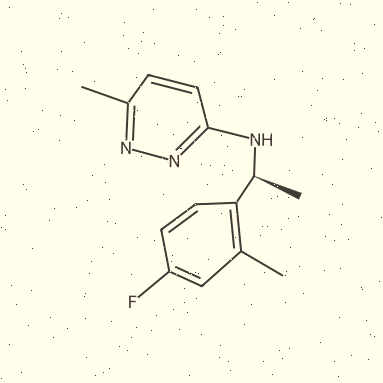 Cc1ccc(N[C@@H](C)c2ccc(F)cc2C)nn1